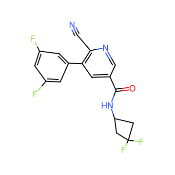 N#Cc1ncc(C(=O)NC2CC(F)(F)C2)cc1-c1cc(F)cc(F)c1